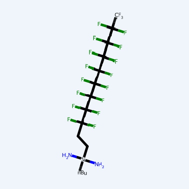 CCCC[Si](N)(N)CCC(F)(F)C(F)(F)C(F)(F)C(F)(F)C(F)(F)C(F)(F)C(F)(F)C(F)(F)C(F)(F)F